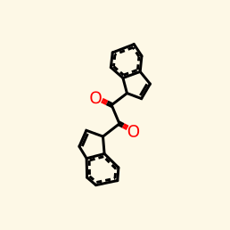 O=C(C(=O)C1C=Cc2ccccc21)C1C=Cc2ccccc21